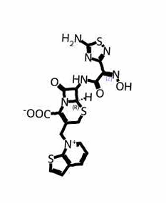 Nc1nc(/C(=N/O)C(=O)NC2C(=O)N3C(C(=O)[O-])=C(C[n+]4cccc5ccsc54)CS[C@H]23)ns1